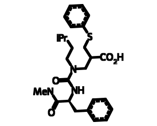 CNC(=O)[C@H](Cc1ccccc1)NC(=O)N(CCC(C)C)CC(CSc1ccccc1)C(=O)O